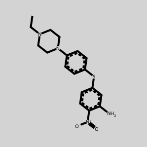 CCN1CCN(c2ccc(Sc3ccc([N+](=O)[O-])c(N)c3)cc2)CC1